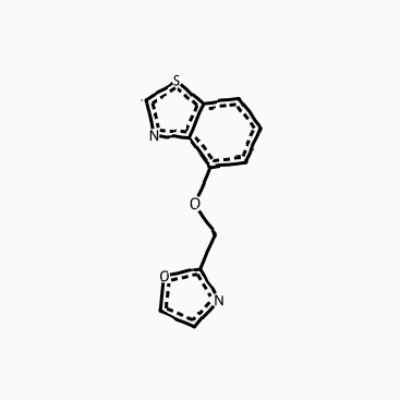 [c]1nc2c(OCc3ncco3)cccc2s1